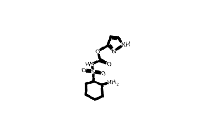 NC1CCCCC1S(=O)(=O)NC(=O)Oc1cc[nH]n1